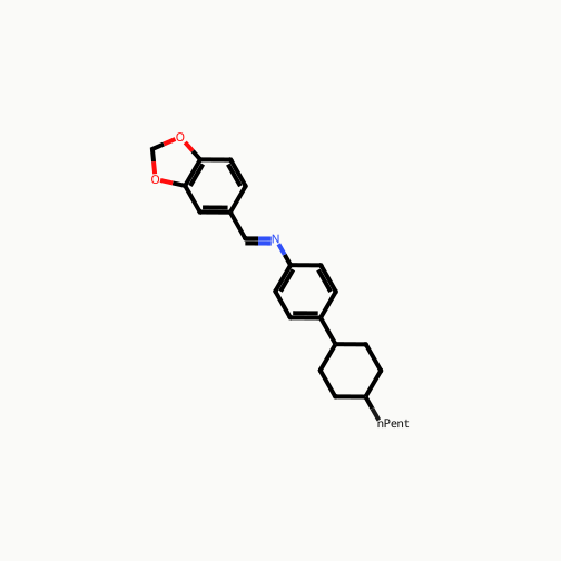 CCCCCC1CCC(c2ccc(/N=C/c3ccc4c(c3)OCO4)cc2)CC1